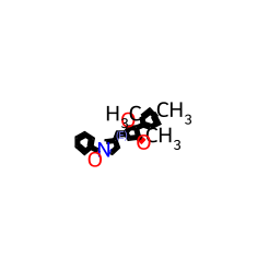 Cc1cc(C)c(C2C(=O)C/C(=C\C3CCN(C(=O)c4ccccc4)C3)C2=O)c(C)c1